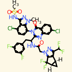 Cn1nc(NS(C)(=O)=O)c2c(Cl)ccc(-n3c(C(Cc4cc(F)cc(F)c4)NC(=O)Cn4nc(C(F)F)c5c4C(F)(F)[C@@H]4C[C@H]54)nc4cc(Cl)ccc4c3=O)c21